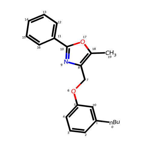 CCCCc1cccc(OCc2nc(-c3ccccc3)oc2C)c1